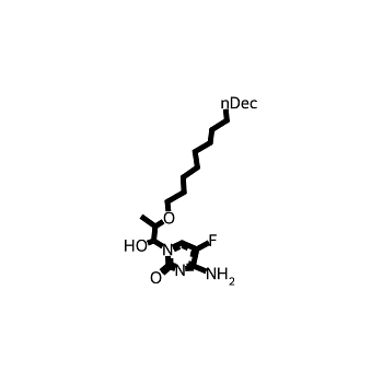 CCCCCCCCCCCCCCCCCCOC(C)C(O)n1cc(F)c(N)nc1=O